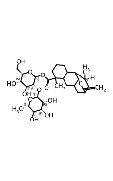 C=C1CC2C3CC1C[C@H](C)C2C1CCCC(C)(C(=O)O[C@@H]2O[C@H](CO)[C@@H](O)[C@H](O)[C@H]2O[C@@H]2O[C@@H](C)[C@H](O)[C@@H](O)[C@H]2O)C1C3